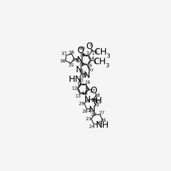 CC(=O)c1c(C)c2cnc(Nc3ccc4c(c3)OC[C@@H]3CN(C5CCNCC5)CCN43)nc2n(C2CCCC2)c1=O